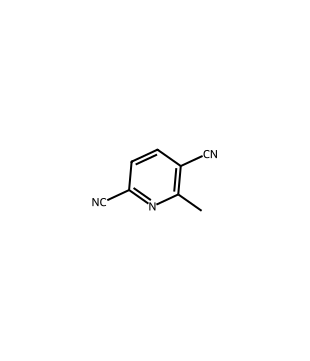 Cc1nc(C#N)ccc1C#N